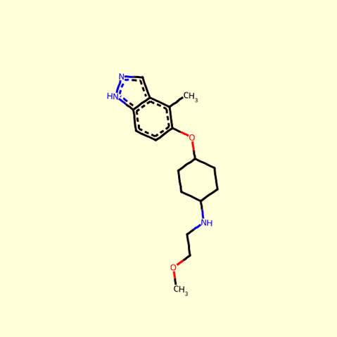 COCCNC1CCC(Oc2ccc3[nH]ncc3c2C)CC1